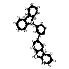 c1cc(-c2cnc3oc4ncccc4c3c2)cc(-n2c3ccccc3c3ccccc32)c1